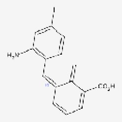 C=c1c(C(=O)O)ccc/c1=C/c1ccc(I)cc1N